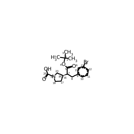 CC(C)(C)OC(=O)C(Cc1cccc(Br)c1)[C@H]1CCN(C(=O)O)C1